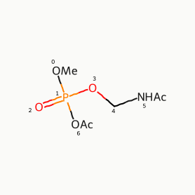 COP(=O)(OCNC(C)=O)OC(C)=O